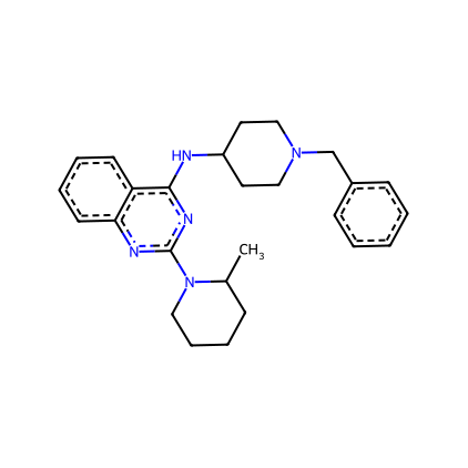 CC1CCCCN1c1nc(NC2CCN(Cc3ccccc3)CC2)c2ccccc2n1